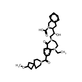 CCN1CCN(C[C@@H](O)C2Cc3ccccc3CN2C(=O)O)C(=O)c2ccc(C(=O)N3CCC4(CC3)CC(OC)C4)cc21